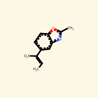 CC=C(c1ccc2oc(C)nc2c1)[N+](=O)[O-]